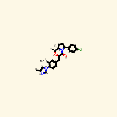 COc1cc(C=C2O[C@@H](C)[C@H]3CC[C@@H](c4ccc(Cl)cc4)N3C2=O)ccc1-n1cnc(C)c1